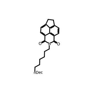 CCCCCCCCCCCCCCCCN1C(=O)c2ccc3c4c(ccc(c24)C1=O)CC3